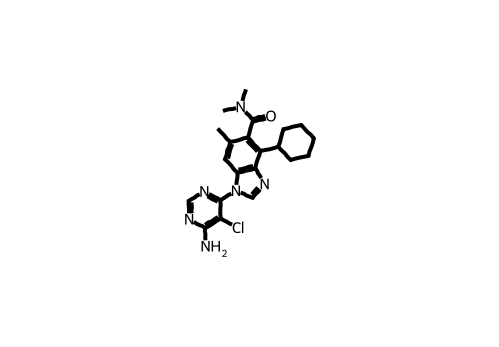 Cc1cc2c(ncn2-c2ncnc(N)c2Cl)c(C2CCCCC2)c1C(=O)N(C)C